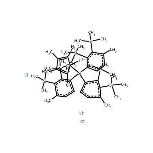 CC1=C(C)[C]([Ti+3])([Si](c2ccc(C)c([Si](C)(C)C)c2[Si](C)(C)C)(c2ccc(C)c([Si](C)(C)C)c2[Si](C)(C)C)c2ccc(C)c([Si](C)(C)C)c2[Si](C)(C)C)C(C)=C1C.[Cl-].[Cl-].[Cl-]